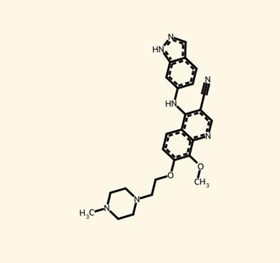 COc1c(OCCN2CCN(C)CC2)ccc2c(Nc3ccc4cn[nH]c4c3)c(C#N)cnc12